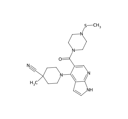 CSN1CCN(C(=O)c2cnc3[nH]ccc3c2N2CCC(C)(C#N)CC2)CC1